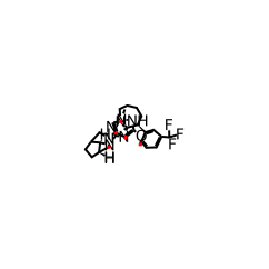 COC1=CC(N2CC3CC[C@@H](C2)[C@@H]3Nc2nc3n(n2)CCCC[C@H]3c2cccc(C(F)(F)F)c2)=CN(C)N1